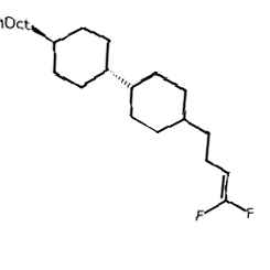 CCCCCCCC[C@H]1CC[C@H](C2CCC(CCC=C(F)F)CC2)CC1